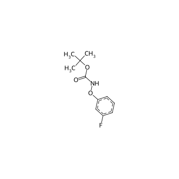 CC(C)(C)OC(=O)NOc1cccc(F)c1